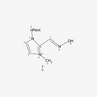 CCCCCn1cc[n+](C)c1C=NO.[I-]